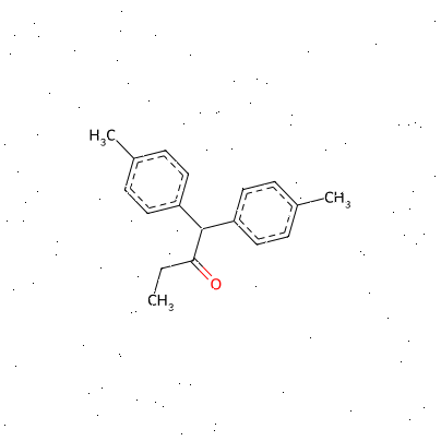 CCC(=O)C(c1ccc(C)cc1)c1ccc(C)cc1